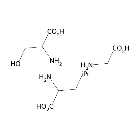 CC(C)CC(N)C(=O)O.NC(CO)C(=O)O.NCC(=O)O